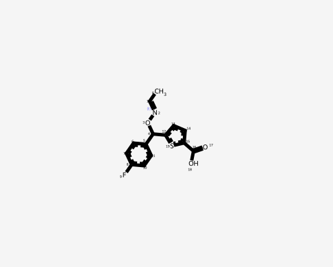 C/C=N/OC(c1ccc(F)cc1)c1ccc(C(=O)O)s1